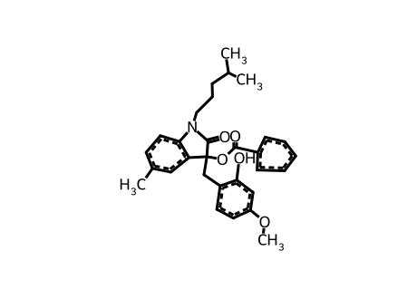 COc1ccc(CC2(OC(=O)c3ccccc3)C(=O)N(CCCC(C)C)c3ccc(C)cc32)c(O)c1